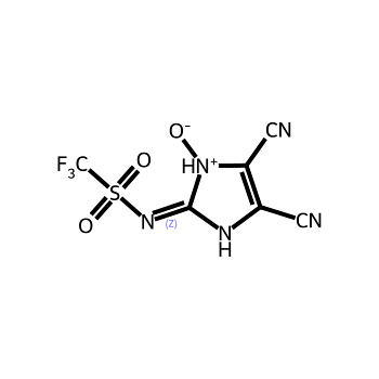 N#CC1=C(C#N)[NH+]([O-])/C(=N\S(=O)(=O)C(F)(F)F)N1